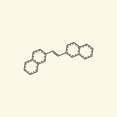 [c]1c(C=Cc2[c]c3ccccc3cc2)ccc2ccccc12